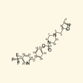 Cc1cc(CCN2CCN(C(=O)Oc3ccc(Cc4ccc(C(F)(F)F)cn4)cc3)CC2)on1